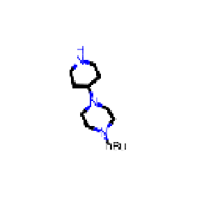 CCCCN1CCN(C2CCNCC2)CC1